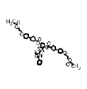 C=CC(=O)OCCCOC1CCC(C2CCC(C(=O)Oc3ccc(OC(=O)C4CCC(C5CCC(OCCCOC(=O)C=C)CC5)CC4)c4c3SC(=C3N=C(c5ccccc5)OC3=S)S4)CC2)CC1